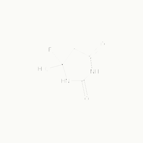 CC1(F)CC(=O)NC(=O)N1